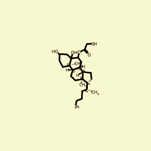 CC(C)CCC[C@@H](C)[C@H]1CC[C@H]2[C@@H]3CC(OC(=O)CS)C4(O)CC(O)CC[C@]4(C)[C@H]3CC[C@]12C